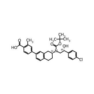 Cc1cc(-c2ccc3c(c2)C[C@@H](N(C[C@H](O)c2ccc(Cl)cc2)C(=O)OC(C)(C)C)CC3)ccc1C(=O)O